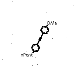 CCCCCc1ccc(C#Cc2ccc(OC)cc2)cc1